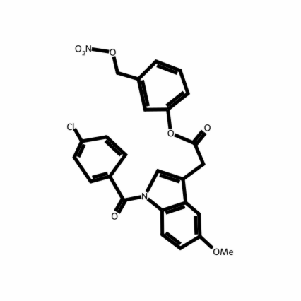 COc1ccc2c(c1)c(CC(=O)Oc1cccc(CO[N+](=O)[O-])c1)cn2C(=O)c1ccc(Cl)cc1